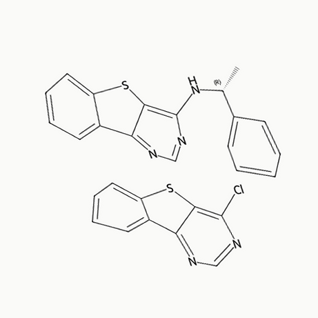 C[C@@H](Nc1ncnc2c1sc1ccccc12)c1ccccc1.Clc1ncnc2c1sc1ccccc12